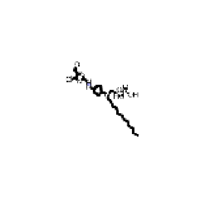 CCCCCCCCCCCCN(CCOP(=O)(O)O)c1ccc(/N=N/c2nc(Cl)c(C=O)s2)cc1